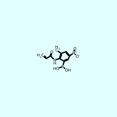 C=CC(=O)Nc1c(C)cc([N+](=O)[O-])cc1B(O)O